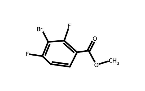 COC(=O)c1ccc(F)c(Br)c1F